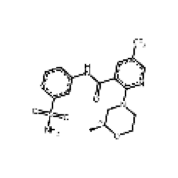 C[C@H]1CN(c2ncc(C(F)(F)F)cc2C(=O)Nc2ccnc(S(N)(=O)=O)c2)CCO1